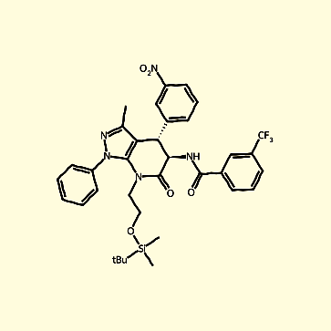 Cc1nn(-c2ccccc2)c2c1[C@H](c1cccc([N+](=O)[O-])c1)[C@@H](NC(=O)c1cccc(C(F)(F)F)c1)C(=O)N2CCO[Si](C)(C)C(C)(C)C